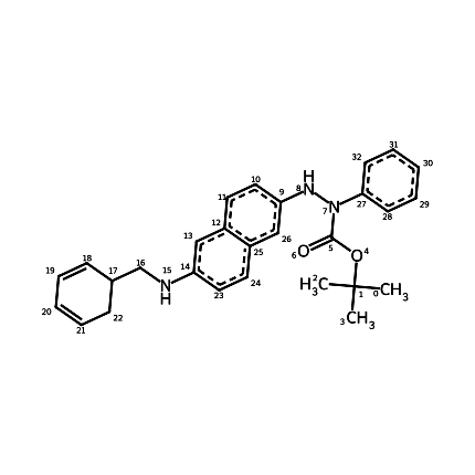 CC(C)(C)OC(=O)N(Nc1ccc2cc(NCC3C=CC=CC3)ccc2c1)c1ccccc1